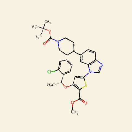 COC(=O)c1sc(-n2cnc3ccc(C4CCN(C(=O)OC(C)(C)C)CC4)cc32)cc1O[C@H](C)c1ccccc1Cl